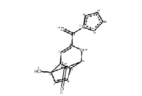 O=C(C1=CC2C3C=CC2(O)C(=O)OC3O1)n1cccc1